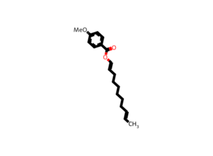 C/C=C/CCCCCC/C=C/OC(=O)c1ccc(OC)cc1